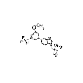 COc1cc(-c2ccc3c(c2)ncn3CC2(O)COC2)cc(C(F)(F)F)c1